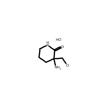 Cl.NC1(CCl)CCCNC1=O